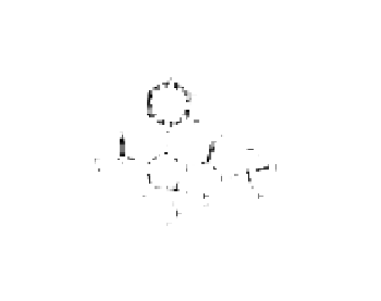 CC(C)(C)OC(=O)N1[C@@H](c2ccccc2)[C@H](C(O)=S)OC1(C)C